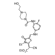 CCOC(=O)C(C#N)=c1sc(=CNc2ccc(F)c(NC(=O)N3CCN(CCO)CC3)c2)c(=O)n1CC